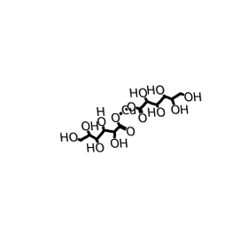 O=C([O][Cu][O]C(=O)C(O)C(O)C(O)C(O)CO)C(O)C(O)C(O)C(O)CO